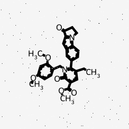 CCc1cc(C(=O)OC)c(=O)n(Cc2ccc(OC)cc2OC)c1-c1ccc2c(c1)cc1n2CCC1=O